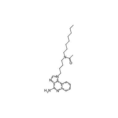 CCCCCCCCN(CCCCn1cnc2c(N)nc3ccccc3c21)C(C)=O